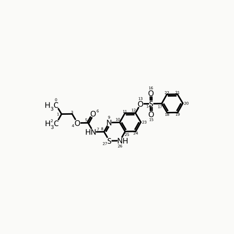 CC(C)COC(=O)NC1=Nc2cc(OS(=O)(=O)c3ccccc3)ccc2NS1